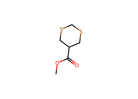 COC(=O)C1CSCSC1